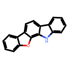 [c]1ccc2c(c1)oc1c2ccc2c3ccccc3[nH]c21